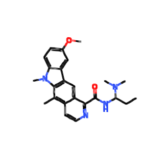 CCC(NC(=O)c1nccc2c(C)c3c(cc12)c1cc(OC)ccc1n3C)N(C)C